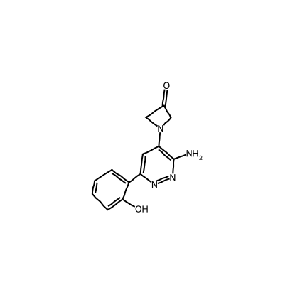 Nc1nnc(-c2ccccc2O)cc1N1CC(=O)C1